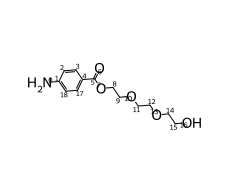 Nc1ccc(C(=O)OCCOCCOCCO)cc1